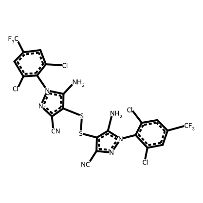 N#Cc1nn(-c2c(Cl)cc(C(F)(F)F)cc2Cl)c(N)c1SSc1c(C#N)nn(-c2c(Cl)cc(C(F)(F)F)cc2Cl)c1N